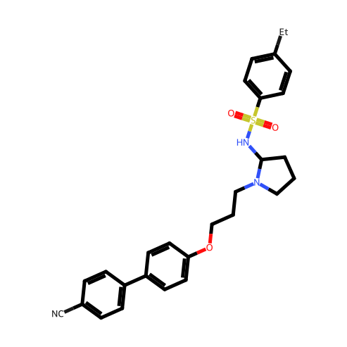 CCc1ccc(S(=O)(=O)NC2CCCN2CCCOc2ccc(-c3ccc(C#N)cc3)cc2)cc1